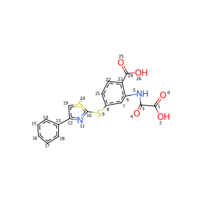 O=C(O)C(=O)Nc1cc(Sc2nc(-c3ccccc3)cs2)ccc1C(=O)O